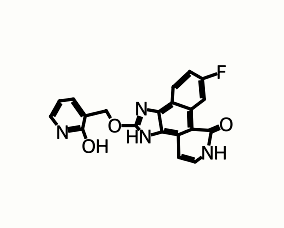 O=c1[nH]ccc2c3[nH]c(OCc4cccnc4O)nc3c3ccc(F)cc3c12